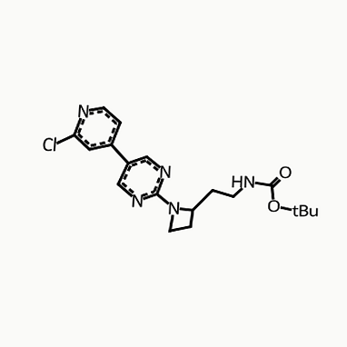 CC(C)(C)OC(=O)NCCC1CCN1c1ncc(-c2ccnc(Cl)c2)cn1